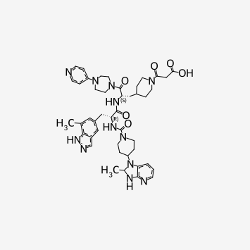 Cc1cc(C[C@@H](NC(=O)N2CCC(N3c4cccnc4NC3C)CC2)C(=O)N[C@@H](CC2CCN(C(=O)CC(=O)O)CC2)C(=O)N2CCN(c3ccncc3)CC2)cc2cn[nH]c12